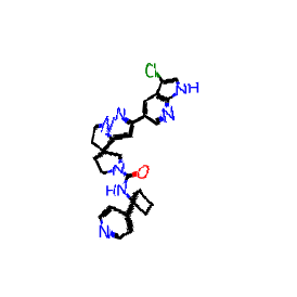 O=C(NC1(c2ccncc2)CCC1)N1CCC2(CCn3nc(-c4cnc5[nH]cc(Cl)c5c4)cc32)C1